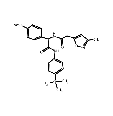 COc1ccc(C(NC(=O)Cc2cc(C)no2)C(=O)Nc2ccc([Si](C)(C)C)cc2)cc1